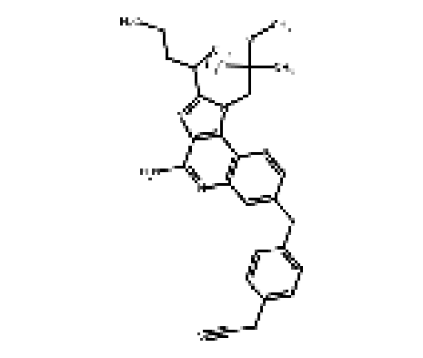 CCCC(C)c1nc2c(N)nc3cc(Cc4ccc(CC#N)cc4)ccc3c2n1CC(C)(C)OC